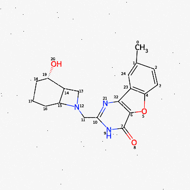 Cc1ccc2oc3c(=O)[nH]c(CN4CC5C4CCC[C@@H]5O)nc3c2c1